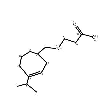 CC(C)C1=CCC(CNCCC(=O)O)CCC1